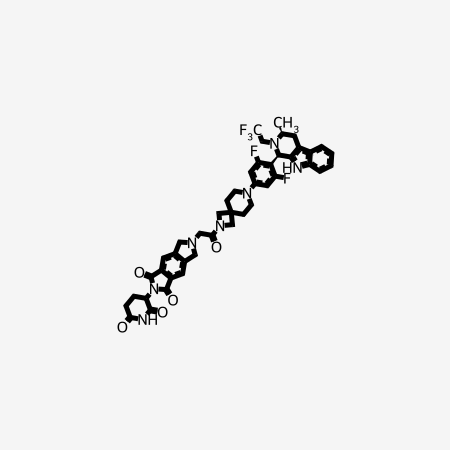 C[C@@H]1Cc2c([nH]c3ccccc23)[C@@H](c2c(F)cc(N3CCC4(CC3)CN(C(=O)CN3Cc5cc6c(cc5C3)C(=O)N(C3CCC(=O)NC3=O)C6=O)C4)cc2F)N1CC(F)(F)F